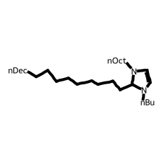 CCCCCCCCCCCCCCCCCCCC1N(CCCC)C=CN1CCCCCCCC